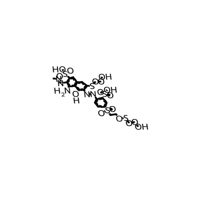 C/N=N/c1c(S(=O)(=O)O)cc2cc(SOOO)c(/N=N/c3ccc(S(=O)(=O)CCOSOOO)cc3S(=O)(=O)O)c(O)c2c1N